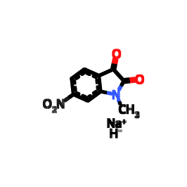 CN1C(=O)C(=O)c2ccc([N+](=O)[O-])cc21.[H-].[Na+]